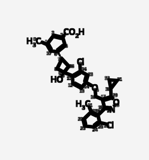 Cc1cc(C(=O)O)cc([C@H]2C[C@@](O)(c3ccc(OCc4c(-c5c(C)cccc5Cl)noc4C4CC4)cc3Cl)C2)c1